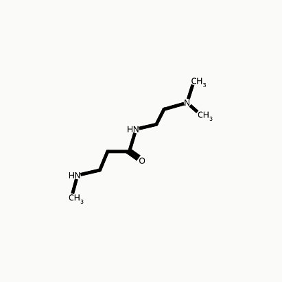 CNCCC(=O)NCCN(C)C